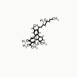 C=C(CCC)CCCCc1cc2c(cc1CC)C1=CC(=C)C(C(=C)C)=CN1C1C2CCC1(C)C